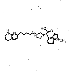 Cn1ccc2c(C(C(=O)O)N3CC[C@@H](OCCCCc4ccc5c(n4)NCCC5)C3)cccc21